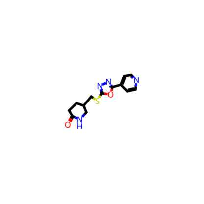 O=C1CCC(CSc2nnc(-c3ccncc3)o2)CN1